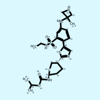 CCNS(=O)(=O)c1cc(NC2(C)CNC2)ccc1-c1cnc([C@H]2CC[C@H](NC(=O)OC(C)C)CC2)s1